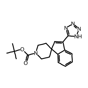 CC(C)(C)OC(=O)N1CCC2(C=C(c3nnn[nH]3)c3ccccc32)CC1